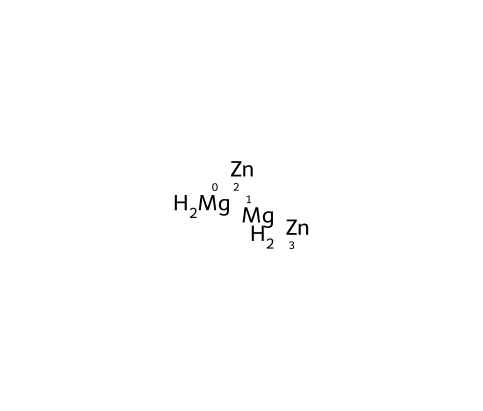 [MgH2].[MgH2].[Zn].[Zn]